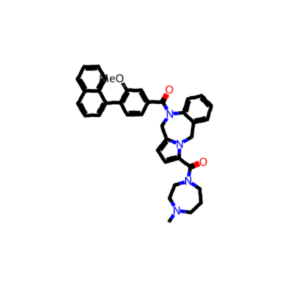 COc1cc(C(=O)N2Cc3ccc(C(=O)N4CCCN(C)CC4)n3Cc3ccccc32)ccc1-c1cccc2ccccc12